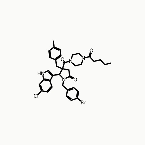 CCCCC(=O)N1CCN(C(=O)C2(Cc3ccc(C)cc3)CC(=O)N(Cc3ccc(Br)cc3)C2c2c[nH]c3cc(Cl)ccc23)CC1